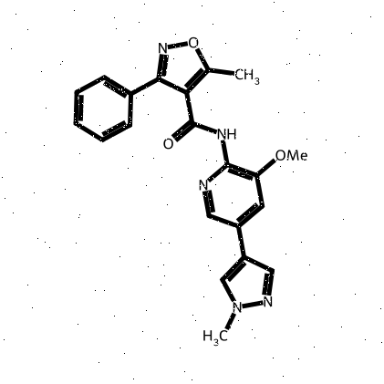 COc1cc(-c2cnn(C)c2)cnc1NC(=O)c1c(-c2ccccc2)noc1C